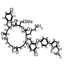 COCC1NC(=O)C(CCCN)N(Cc2ccc(Cl)cc2Oc2ccc(-c3cnc(CN(C)C)n3C)cc2)C(=O)CCC(=O)N(C)CCNC(=O)CC(Cc2ccc(Cl)cc2)N(C)C1=O